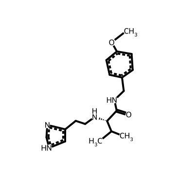 COc1ccc(CNC(=O)[C@@H](NCCc2c[nH]cn2)C(C)C)cc1